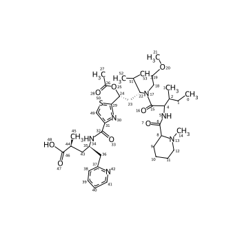 CCC(C)C(NC(=O)C1CCCCN1C)C(=O)N(CCOC)[C@H](C[C@@H](OC(C)=O)c1nc(C(=O)N[C@@H](Cc2ccccn2)C[C@H](C)C(=O)O)cs1)C(C)C